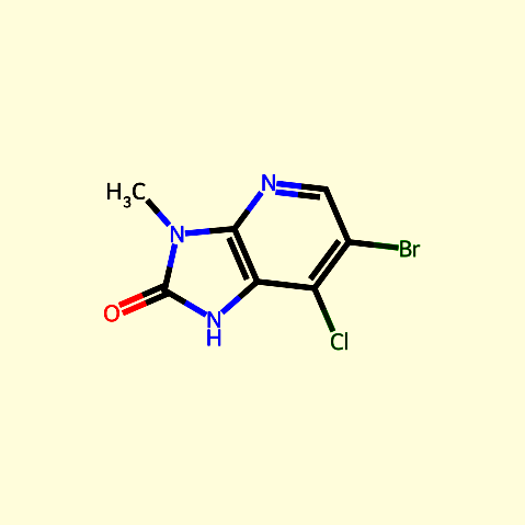 Cn1c(=O)[nH]c2c(Cl)c(Br)cnc21